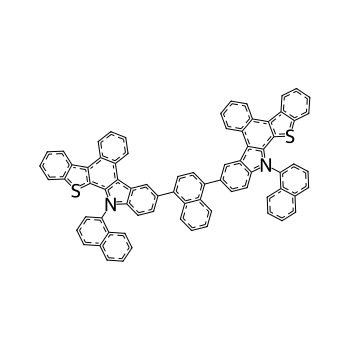 c1ccc2c(-n3c4ccc(-c5ccc(-c6ccc7c(c6)c6c8ccccc8c8c9ccccc9sc8c6n7-c6cccc7ccccc67)c6ccccc56)cc4c4c5ccccc5c5c6ccccc6sc5c43)cccc2c1